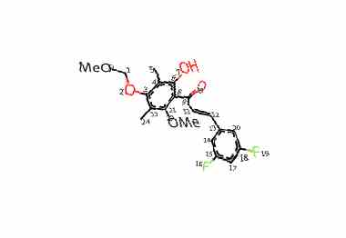 COCOc1c(C)c(O)c(C(=O)C=Cc2cc(F)cc(F)c2)c(OC)c1C